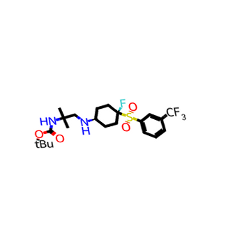 CC(C)(CN[C@H]1CC[C@](F)(S(=O)(=O)c2cccc(C(F)(F)F)c2)CC1)NC(=O)OC(C)(C)C